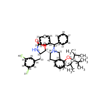 CC(C)[Si](Oc1cccc2c1CN(C(c1ccccc1)c1ccccc1)C([C@H]1OC(=O)N[C@H]1Cc1cc(F)cc(F)c1)C2)(C(C)C)C(C)C